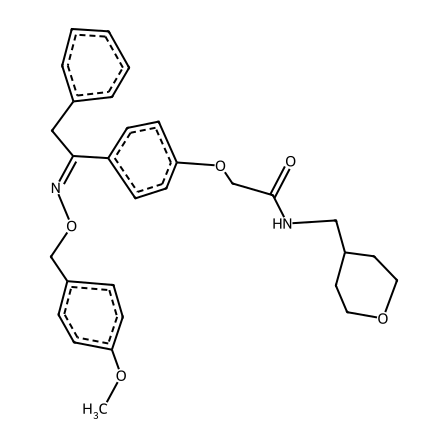 COc1ccc(CON=C(Cc2ccccc2)c2ccc(OCC(=O)NCC3CCOCC3)cc2)cc1